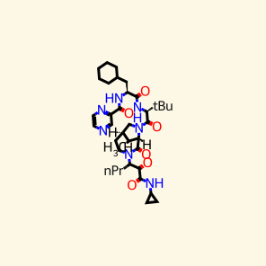 CCCC(C(=O)C(=O)NC1CC1)N1CC[C@H]2CN(C(=O)[C@@H](NC(=O)[C@H](CC3CCCCC3)NC(=O)c3cnccn3)C(C)(C)C)[C@H](C1=O)[C@H]2C